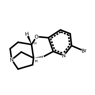 Brc1ccc2c(n1)C[C@@]13CCN(CC[C@@H]1O2)C3